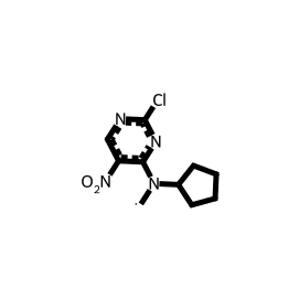 [CH2]N(c1nc(Cl)ncc1[N+](=O)[O-])C1CCCC1